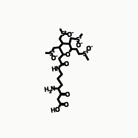 C[S+]([O-])CCC1OC(CC(=O)NCCCC(N)C(=O)CC(=O)O)C(C[S+](C)[O-])C(C[S+](C)[O-])C1C[S+](C)[O-]